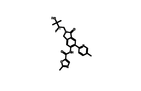 Cc1ccc(-c2cc3c(cc2NC(=O)c2cnc(C)o2)CN(C[C@@H](F)C(C)(C)O)C3=O)nc1